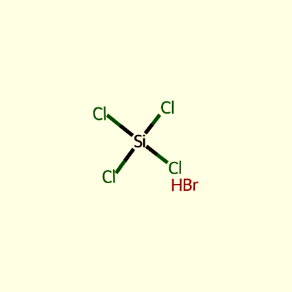 Br.Cl[Si](Cl)(Cl)Cl